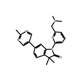 Cc1ncc(-c2ccc3c(c2)N(c2cccc(CN(C)C)n2)C(=O)C3(C)C)cn1